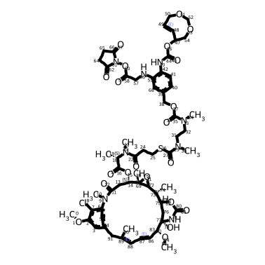 COc1cc2cc(c1Cl)N(C)C(=O)C[C@H](OC(=O)[C@H](C)N(C)C(=O)CCSC(=O)N(C)CCN(C)C(=O)OCc1ccc(NC(=O)OC3/C=C/COCOC3)c(NCC(=O)ON3C(=O)CCC3=O)c1)[C@]1(C)OC1[C@H](C)[C@@H]1C[C@@](O)(NC(=O)O1)[C@H](OC)/C=C/C=C(\C)C2